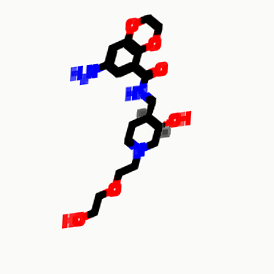 Nc1cc2c(c(C(=O)NC[C@@H]3CCN(CCOCCO)C[C@H]3O)c1)OCCO2